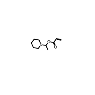 C=CC(=O)OC(C)N1CCCCC1